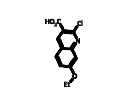 CCOc1ccc2cc(C(=O)O)c(Cl)nc2c1